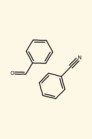 N#Cc1ccccc1.O=Cc1ccccc1